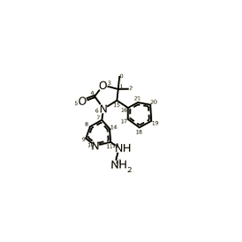 CC1(C)OC(=O)N(c2ccnc(NN)c2)C1c1ccccc1